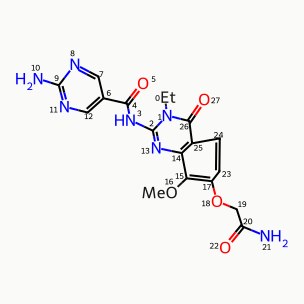 CCn1c(NC(=O)c2cnc(N)nc2)nc2c(OC)c(OCC(N)=O)ccc2c1=O